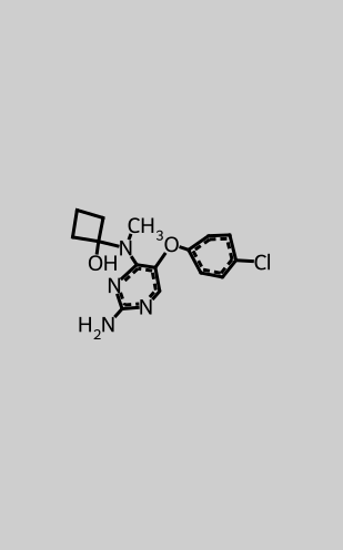 CN(c1nc(N)ncc1Oc1ccc(Cl)cc1)C1(O)CCC1